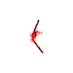 CC#CC#CC#CC#CC#CC#CC#CC#CC(=O)OCC(COC(=O)C#CC#CC#CC#CC#CC#CC#CC#CC)OC(=O)CC(C)CCC(C)CC(=O)O